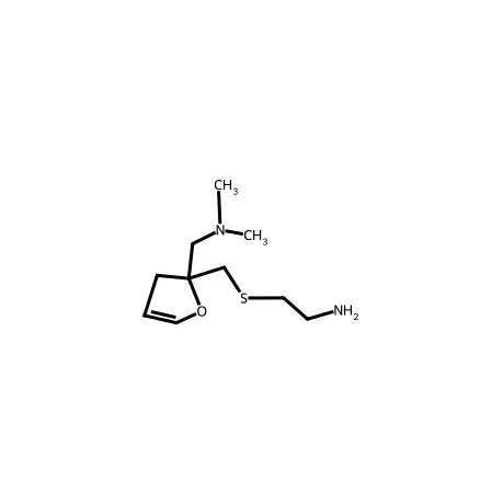 CN(C)CC1(CSCCN)CC=CO1